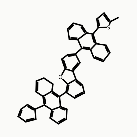 Cc1ccc(-c2c3ccccc3c(-c3ccc4oc5c(-c6c7c(c(-c8ccccc8)c8ccccc68)C=CCC7)cccc5c4c3)c3ccccc23)s1